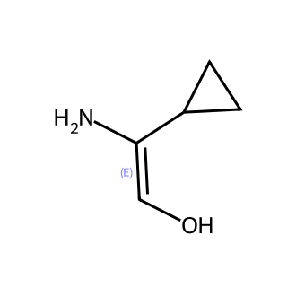 N/C(=C/O)C1CC1